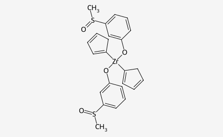 CS(=O)c1cccc([O][Zr]([O]c2cccc(S(C)=O)c2)([C]2=CC=CC2)[C]2=CC=CC2)c1